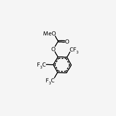 COC(=O)Oc1c(C(F)(F)F)ccc(C(F)(F)F)c1C(F)(F)F